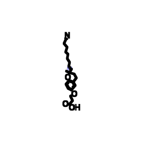 CC1(/C=C/CCCCCCC#N)CCc2cc(OCCC(=O)O)ccc2O1